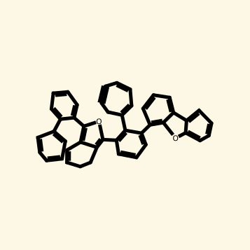 C1#CCC(c2c(-c3oc(-c4ccccc4-c4ccccc4)c4c3CCC=C4)cccc2-c2cccc3c2oc2ccccc23)=CC=C1